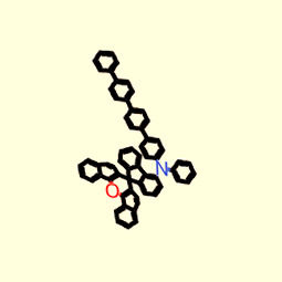 c1ccc(-c2ccc(-c3ccc(-c4ccc(N(c5ccccc5)c5cccc6c5-c5ccccc5C65c6ccc7ccccc7c6Oc6c5ccc5ccccc65)cc4)cc3)cc2)cc1